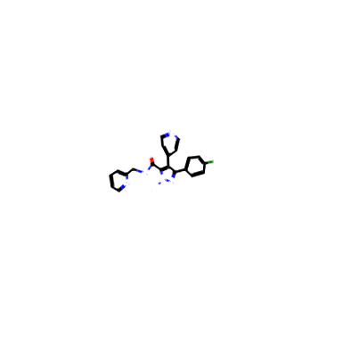 Cn1nc(-c2ccc(F)cc2)c(-c2ccncc2)c1C(=O)NCc1ccccn1